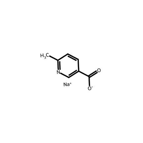 Cc1ccc(C(=O)[O-])cn1.[Na+]